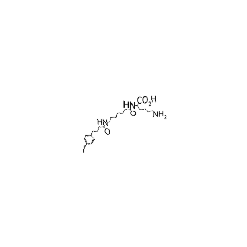 NCCCCC(NC(=O)CCCCCCNC(=O)CCCc1ccc(I)cc1)C(=O)O